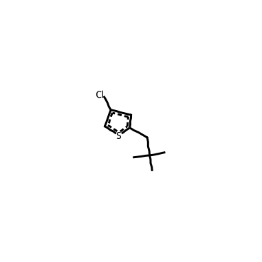 CC(C)(C)Cc1cc(Cl)cs1